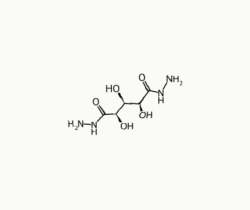 NNC(=O)[C@@H](O)[C@H](O)[C@@H](O)C(=O)NN